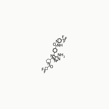 Nc1ncnn2c(C3CCCN(C(=O)C4CC(F)(F)C4)C3)nc(-c3ccc(C(=O)Nc4cc(C(F)(F)F)ccn4)cc3)c12